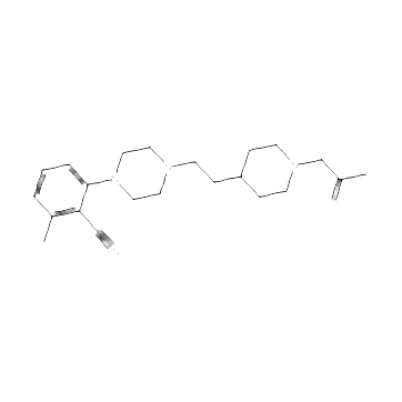 CC(=O)CN1CCC(CCN2CCN(c3cccc(C)c3C#N)CC2)CC1